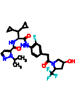 CC(C)n1nccc1C(=O)NC(C(=O)Nc1ccc(CC(=O)N2CC(O)CC2C(F)(F)F)cc1F)C(C1CC1)C1CC1